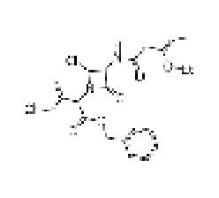 C=C(CCl)C(C(=O)OCc1ccccc1)N1C(=O)C(NC(=O)CC(=CC)OCC)C1Cl